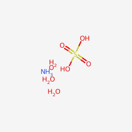 N.O.O.O.O=S(=O)(O)O